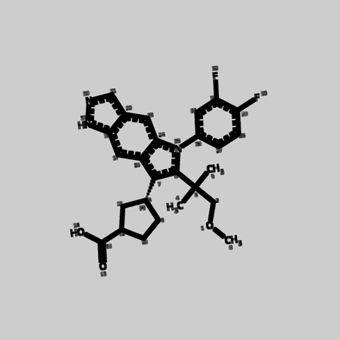 COCC(C)(C)c1c([C@@H]2CCC(C(=O)O)C2)c2cc3[nH]ncc3cc2n1-c1ccc(F)c(F)c1